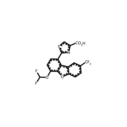 O=C(O)c1csc(-c2ccc(OC(F)F)c3oc4ccc(C(F)(F)F)cc4c23)n1